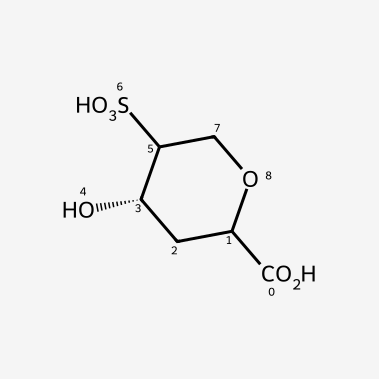 O=C(O)C1C[C@H](O)C(S(=O)(=O)O)CO1